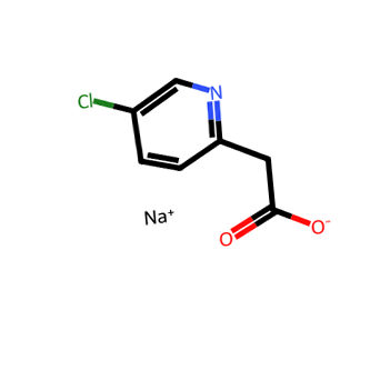 O=C([O-])Cc1ccc(Cl)cn1.[Na+]